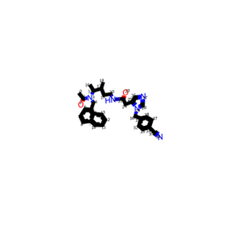 CC(=O)N(Cc1cccc2ccccc12)C(C)C(C)CCNC(=O)Cc1cncn1Cc1ccc(C#N)cc1